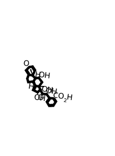 C[C@]12C=CC(=O)C=C1CC[C@H]1C3=C[C@@H](O)[C@](O)(C(=O)C(O)c4ccccc4C(=O)O)[C@@]3(C)C[C@H](O)[C@@H]12